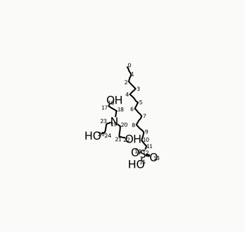 CCCCCCCCCCCCS(=O)(=O)O.OCCN(CCO)CCO